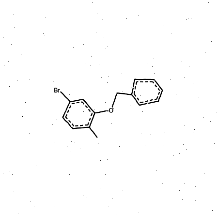 Cc1ccc(Br)cc1OCc1ccccc1